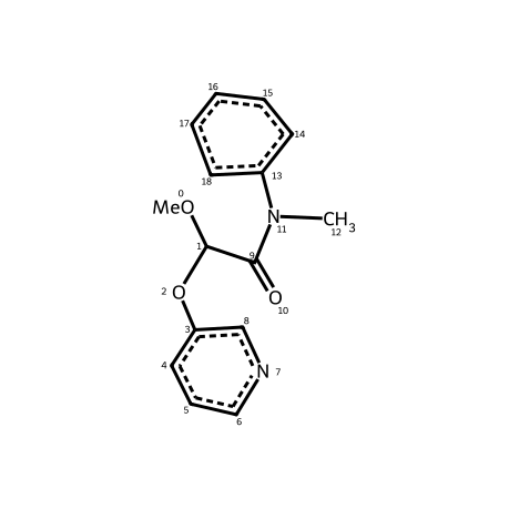 COC(Oc1cccnc1)C(=O)N(C)c1ccccc1